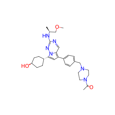 COC[C@H](C)Nc1ncc2c(-c3ccc(CN4CCN(C(C)=O)CC4)cc3)cc([C@H]3CC[C@H](O)CC3)n2n1